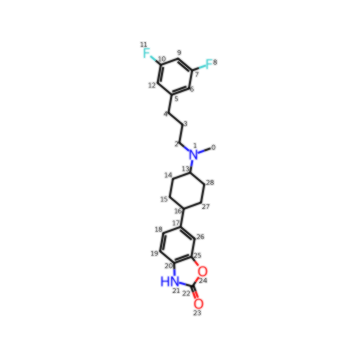 CN(CCCc1cc(F)cc(F)c1)C1CCC(c2ccc3[nH]c(=O)oc3c2)CC1